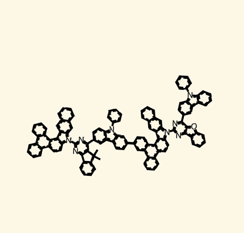 CC1(C)c2ccccc2-c2nc(-n3c4cc5ccccc5cc4c4c5c6ccccc6c6ccccc6c5ccc43)nc(-c3ccc4c(c3)c3ccc(-c5ccc6c(c5)c5ccccc5c5ccc7c(c8cc9ccccc9cc8n7-c7nc(-c8ccc9c(c8)c8ccccc8n9-c8ccccc8)c8oc9ccccc9c8n7)c56)cc3n4-c3ccccc3)c21